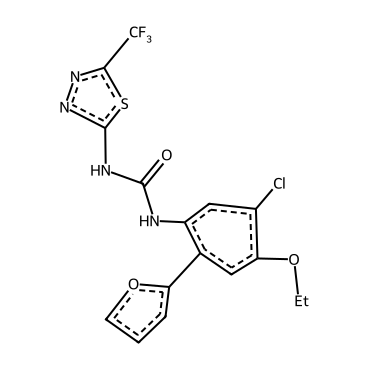 CCOc1cc(-c2ccco2)c(NC(=O)Nc2nnc(C(F)(F)F)s2)cc1Cl